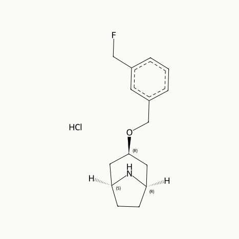 Cl.FCc1cccc(CO[C@H]2C[C@H]3CC[C@@H](C2)N3)c1